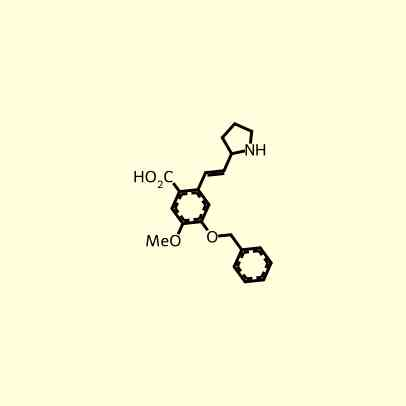 COc1cc(C(=O)O)c(C=CC2CCCN2)cc1OCc1ccccc1